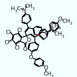 COc1ccc(Oc2ccc(C(=CC3(C=C(c4ccc(Oc5ccc(OC)cc5)cc4)c4ccc(N(C)C)cc4)OC(=O)c4c(Cl)c(Cl)c(Cl)c(Cl)c43)c3ccc(N(C)C)cc3)cc2)cc1